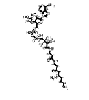 CC(C)(COP(=O)(O)OP(=O)(O)OCC1OC(n2cnc3c(N)ncnc32)C(O)C1OP(=O)(O)O)C(O)C(=O)NCCC(=O)NCCC(=O)C[C@@H](N)CCCN